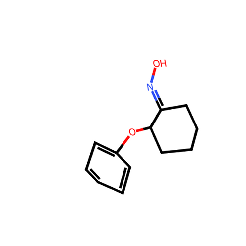 ON=C1CCCCC1Oc1ccccc1